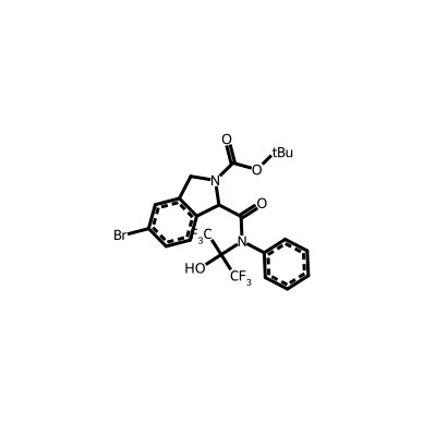 CC(C)(C)OC(=O)N1Cc2cc(Br)ccc2C1C(=O)N(c1ccccc1)C(O)(C(F)(F)F)C(F)(F)F